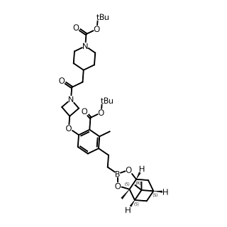 Cc1c(CCB2O[C@@H]3C[C@@H]4C[C@@H](C4(C)C)[C@]3(C)O2)ccc(OC2CN(C(=O)CC3CCN(C(=O)OC(C)(C)C)CC3)C2)c1C(=O)OC(C)(C)C